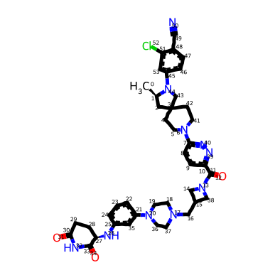 C[C@@H]1CC2(CCN(c3ccc(C(=O)N4CC(CN5CCN(c6cccc(N[C@@H]7CCC(=O)NC7=O)c6)CC5)C4)nn3)CC2)CN1c1ccc(C#N)c(Cl)c1